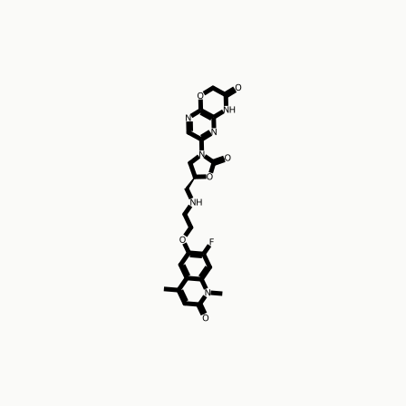 Cc1cc(=O)n(C)c2cc(F)c(OCCNC[C@H]3CN(c4cnc5c(n4)NC(=O)CO5)C(=O)O3)cc12